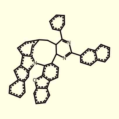 c1ccc(C2=NC(c3ccc4ccccc4c3)=NC3c4ccc5c(oc6ccccc65)c4-n4c5cc(ccc5c5cc6ccccc6cc54)CC23)cc1